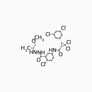 COCC(C)NNC(=O)c1cc(NC(=O)[C@H]2[C@H](c3cc(Cl)cc(Cl)c3)C2(Cl)Cl)ccc1Cl